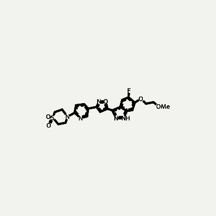 COCCOc1cc2[nH]nc(-c3cc(-c4ccc(N5CCS(=O)(=O)CC5)nc4)no3)c2cc1F